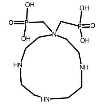 O=P(O)(O)C[N+]1(CP(=O)(O)O)CCNCCNCCNCC1